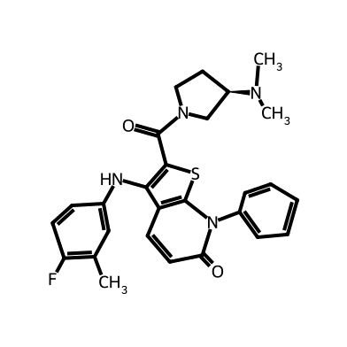 Cc1cc(Nc2c(C(=O)N3CC[C@@H](N(C)C)C3)sc3c2ccc(=O)n3-c2ccccc2)ccc1F